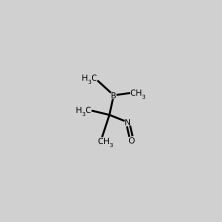 CB(C)C(C)(C)N=O